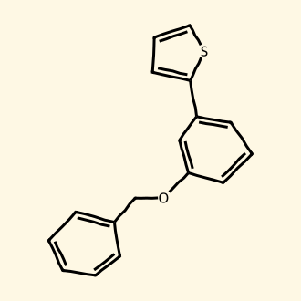 c1ccc(COc2cccc(-c3cccs3)c2)cc1